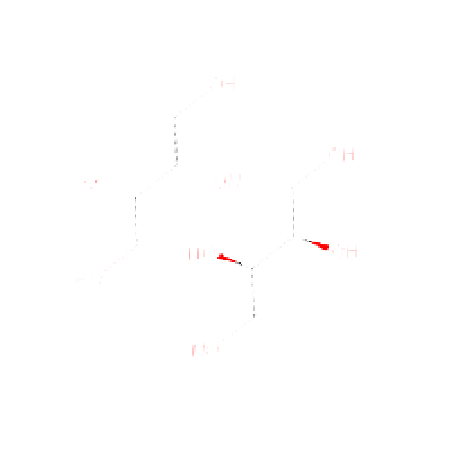 OC[C@@H](O)[C@H](O)CO.OC[C@H](O)[C@@H](O)CO